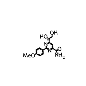 COc1ccc(-c2nc(C(N)=O)cc([C@H](O)CO)n2)cc1